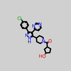 O=C(C1CCC(O)C1)N1CCC(c2[nH]nc(-c3ccc(Cl)cc3)c2-c2ccncn2)CC1